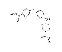 COC(=O)c1ccc(Cc2ccc(NC3CCN(C(=O)OC(C)(C)C)CC3)cc2)cc1